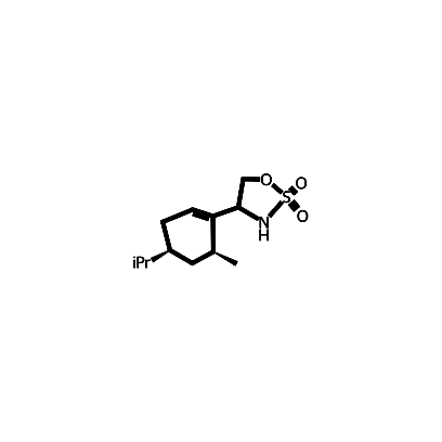 CC(C)[C@H]1CC=C(C2COS(=O)(=O)N2)[C@@H](C)C1